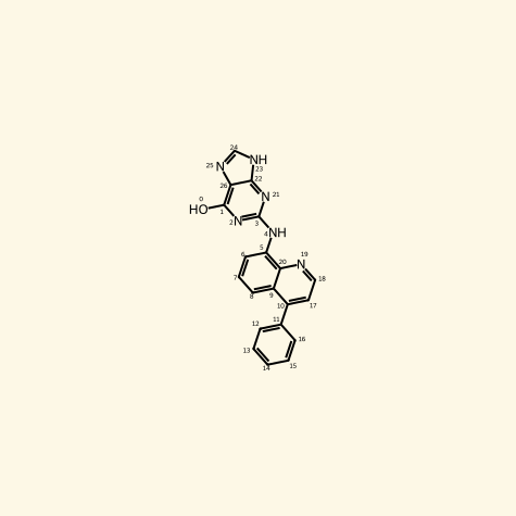 Oc1nc(Nc2cccc3c(-c4ccccc4)ccnc23)nc2[nH]cnc12